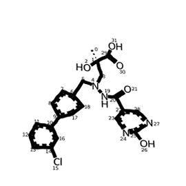 C[C@@](O)(CN(Cc1ccc(-c2cccc(Cl)c2)cc1)NC(=O)c1cnc(O)nc1)C(=O)O